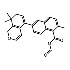 Cc1ccc2cc(C3=CCC(C)(C)C4=C3C=COC4)ccc2c1C(=O)OC=O